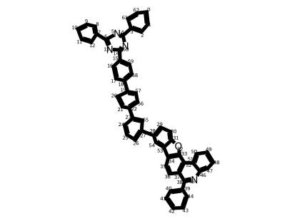 c1ccc(-c2nc(-c3ccccc3)nc(-c3ccc(-c4ccc(-c5cccc(-c6ccc7oc8c(ccc9c(-c%10ccccc%10)nc%10ccccc%10c98)c7c6)c5)cc4)cc3)n2)cc1